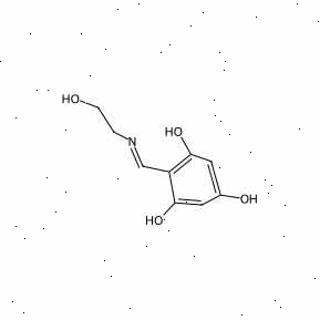 OCCN=Cc1c(O)cc(O)cc1O